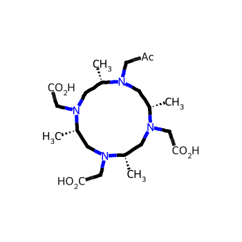 CC(=O)CN1C[C@H](C)N(CC(=O)O)C[C@H](C)N(CC(=O)O)C[C@H](C)N(CC(=O)O)C[C@@H]1C